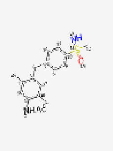 CC(=O)Nc1cc(C)c(Cc2ccc(S(C)(=N)=O)cc2)cc1C